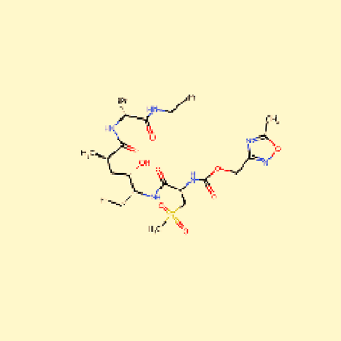 Cc1nc(COC(=O)N[C@@H](CS(C)(=O)=O)C(=O)N[C@H](CC(C)C)[C@@H](O)C[C@@H](C)C(=O)N[C@@H](C(=O)NCC(C)C)C(C)C)no1